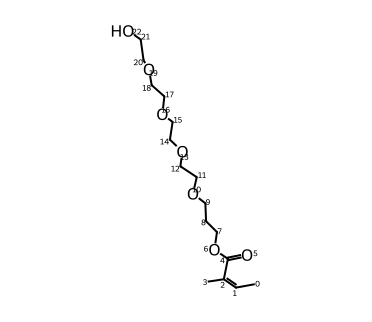 CC=C(C)C(=O)OCCCOCCOCCOCCOCCO